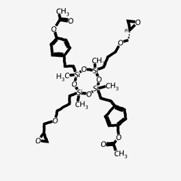 CC(=O)Oc1ccc(CC[Si]2(C)O[Si](C)(CCCOCC3CO3)O[Si](C)(CCc3ccc(OC(C)=O)cc3)O[Si](C)(CCCOC[C@@H]3CO3)O2)cc1